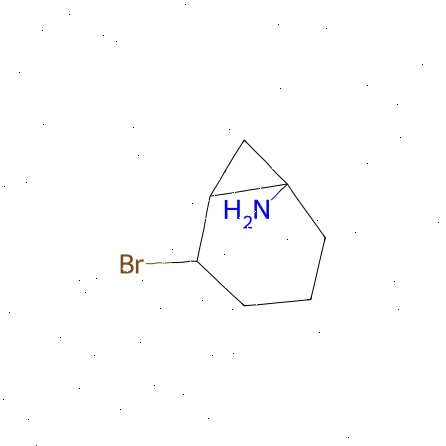 NC12CCCC(Br)C1C2